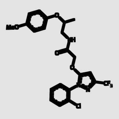 COc1ccc(OC(C)CNC(=O)COc2cc(C(F)(F)F)nn2-c2ccccc2Cl)cc1